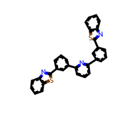 c1cc(-c2cccc(-c3cccc(-c4nc5ccccc5s4)c3)n2)cc(-c2nc3ccccc3s2)c1